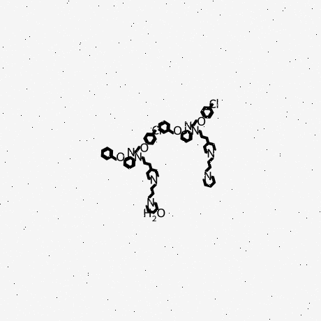 Clc1ccc(OCc2nc3c(OCc4ccccc4)cccc3n2CCCC2CCN(CCCCN3CCCCC3)CC2)cc1.Clc1ccc(OCc2nc3c(OCc4ccccc4)cccc3n2CCCC2CCN(CCCCN3CCCCC3)CC2)cc1.O